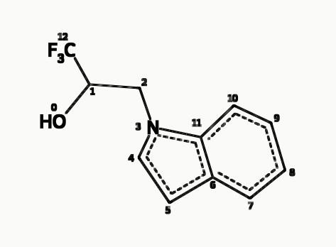 OC(Cn1ccc2ccccc21)C(F)(F)F